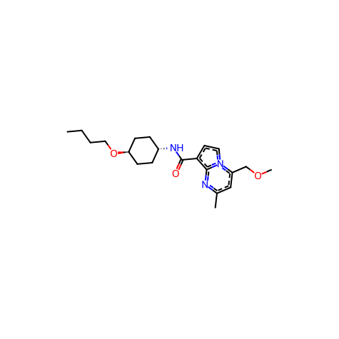 CCCCO[C@H]1CC[C@H](NC(=O)c2ccn3c(COC)cc(C)nc23)CC1